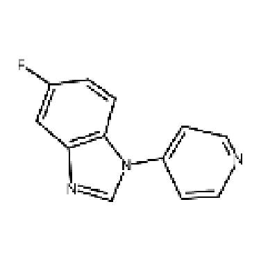 Fc1ccc2c(c1)ncn2-c1ccncc1